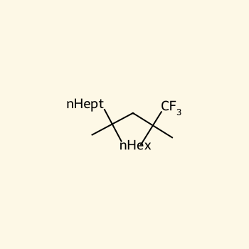 CCCCCCCC(C)(CCCCCC)CC(C)(C)C(F)(F)F